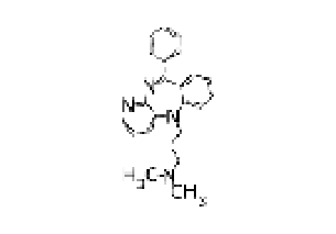 CN(C)CCCN1c2ccccc2C(c2ccccc2)=Nc2ncccc21